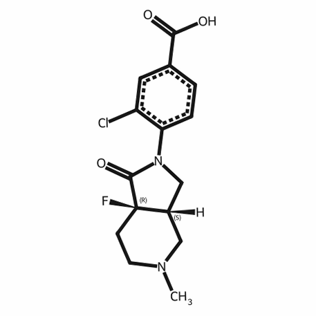 CN1CC[C@]2(F)C(=O)N(c3ccc(C(=O)O)cc3Cl)C[C@@H]2C1